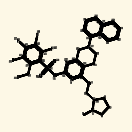 CN1CCC[C@H]1COc1nc(OS(=O)(=O)c2c(F)c(F)c(F)c(F)c2CF)nc2c1CCN(c1cccc3ccccc13)C2